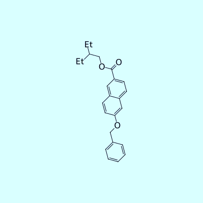 CCC(CC)COC(=O)c1ccc2cc(OCc3ccccc3)ccc2c1